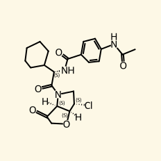 CC(=O)Nc1ccc(C(=O)N[C@H](C(=O)N2C[C@H](Cl)[C@H]3OCC(=O)[C@H]32)C2CCCCC2)cc1